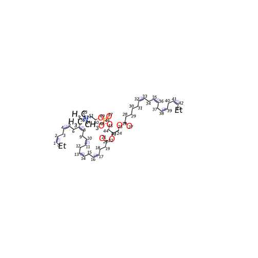 CC/C=C\C/C=C\C/C=C\C/C=C\C/C=C\C/C=C\CCC(=O)O[C@H](COC(=O)CCCC/C=C\C/C=C\C/C=C\C/C=C\CC)COP(=O)([O-])OCC[N+](C)(C)C